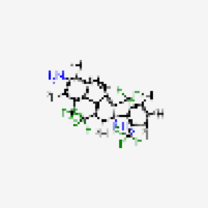 [2H]C1=C(C(F)(F)F)C(N)(c2cc([2H])c([2H])c([2H])c2C(F)(F)F)C([2H])C(C(F)(F)F)=C1c1c([2H])c([2H])c(N)c([2H])c1C(F)(F)F